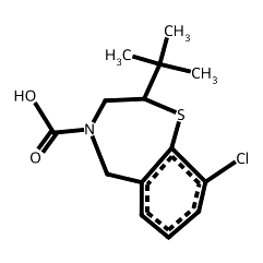 CC(C)(C)C1CN(C(=O)O)Cc2cccc(Cl)c2S1